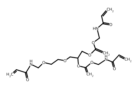 C=CC(=O)NCOCCOCC(COC(=C)OCNC(=O)C=C)OC(=C)OCNC(=O)C=C